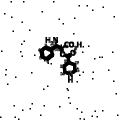 N[C@@H](c1ccccc1)[C@@H](OC(=O)C1CCNCC1)C(=O)O